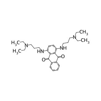 CCN(CC)CCCNc1ccc(NCCCN(CC)CC)c2c1C(=O)c1ccccc1C2=O